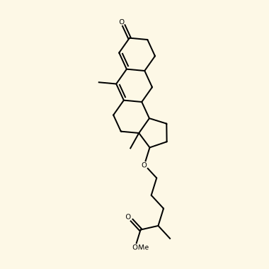 COC(=O)C(C)CCCOC1CCC2C3CC4CCC(=O)C=C4C(C)=C3CCC12C